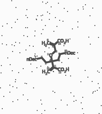 C=C(COC(CCCCCCCCCCCC)(CCCCCCCCCCCC)C(=C)C(=O)O)C(=O)O